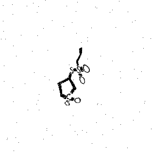 C=CCS(=O)(=O)SC1CCS(=O)(=O)C1